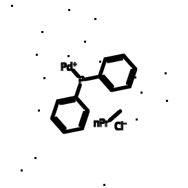 CCCC.[Cl-].[Pd+][P](c1ccccc1)c1ccccc1